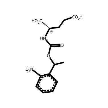 CC(OC(=O)N[C@@H](CCC(=O)O)C(=O)O)c1ccccc1[N+](=O)[O-]